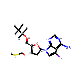 CSCO[C@H]1C[C@H](n2cc(I)c3c(N)ncnc32)O[C@@H]1CO[Si](C)(C)C(C)(C)C